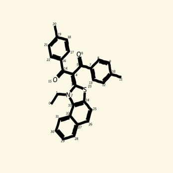 CCN1C(=C(C(=O)c2ccc(C)cc2)C(=O)c2ccc(C)cc2)Sc2ccc3ccccc3c21